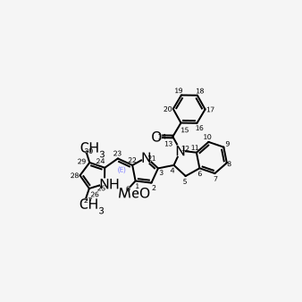 COC1=CC(C2Cc3ccccc3N2C(=O)c2ccccc2)=N/C1=C/c1[nH]c(C)cc1C